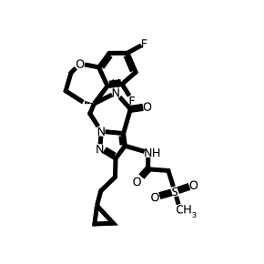 CS(=O)(=O)CC(=O)Nc1c(CCC2CC2)nn2c1C(=O)N[C@@]1(CCCOc3cc(F)cc(F)c31)C2